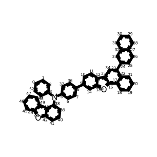 c1ccc(N(c2ccc(-c3ccc4c(c3)oc3c5ccccc5c(-c5ccc6ccccc6c5)cc43)cc2)c2cccc3oc4ccccc4c23)cc1